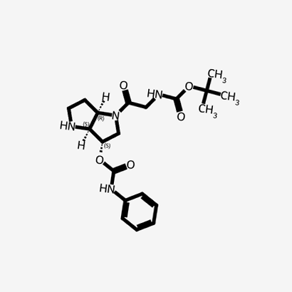 CC(C)(C)OC(=O)NCC(=O)N1C[C@H](OC(=O)Nc2ccccc2)[C@H]2NCC[C@H]21